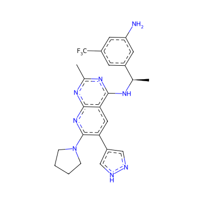 Cc1nc(N[C@H](C)c2cc(N)cc(C(F)(F)F)c2)c2cc(-c3cn[nH]c3)c(N3CCCC3)nc2n1